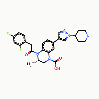 C[C@H]1CN(C(=O)O)c2cc(-c3cnn(C4CCNCC4)c3)ccc2N1C(=O)Cc1ccc(F)cc1F